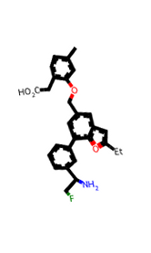 CCc1cc2cc(COc3cc(C)ccc3CC(=O)O)cc(-c3cccc(C(N)CF)c3)c2o1